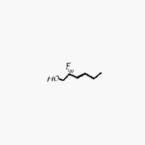 CCCC[C@@H](F)CO